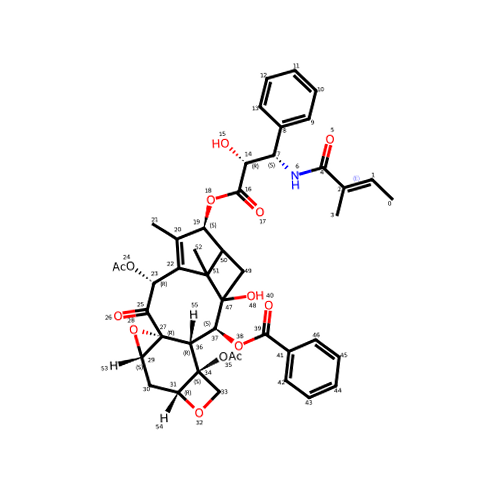 C/C=C(\C)C(=O)N[C@@H](c1ccccc1)[C@@H](O)C(=O)O[C@@H]1C(C)=C2[C@@H](OC(C)=O)C(=O)[C@]34O[C@H]3C[C@H]3OC[C@@]3(OC(C)=O)[C@H]4[C@H](OC(=O)c3ccccc3)C3(O)CC1C23C